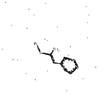 CC(C)OC([SiH3])=Cc1ccccc1